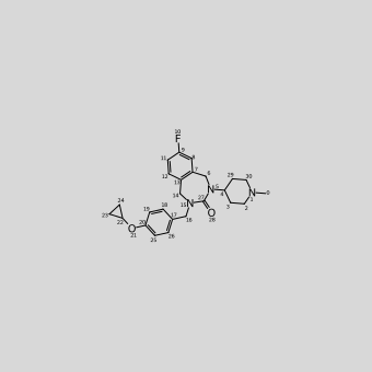 CN1CCC(N2Cc3cc(F)ccc3CN(Cc3ccc(OC4CC4)cc3)C2=O)CC1